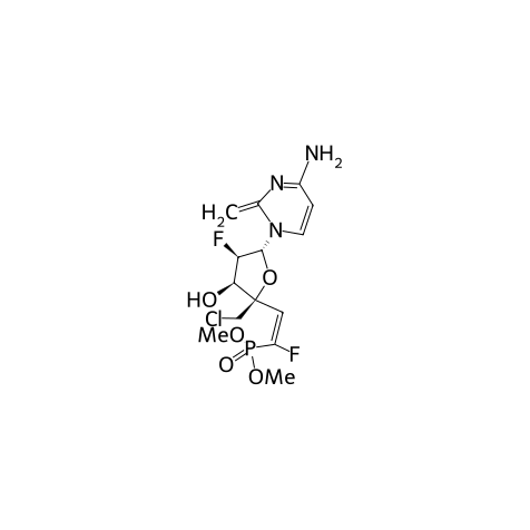 C=C1N=C(N)C=CN1[C@@H]1O[C@@](/C=C(/F)P(=O)(OC)OC)(CCl)[C@@H](O)[C@H]1F